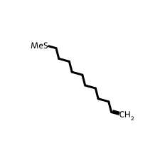 C=CCCCCCCCCCSC